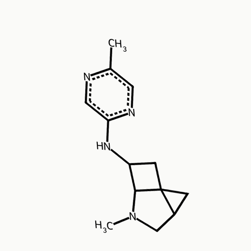 Cc1cnc(NC2CC34CC3CN(C)C24)cn1